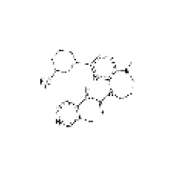 C=C(Nc1ccncc1F)N1CCCN(C)c2ccc(C3CCCC(C(F)(F)F)C3)nc21